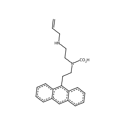 C=CCNCCN(CCc1c2ccccc2cc2ccccc12)C(=O)O